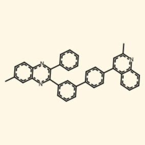 Cc1ccc2nc(-c3ccccc3)c(-c3cccc(-c4ccc(-c5cc(C)nc6ccccc56)cc4)c3)nc2c1